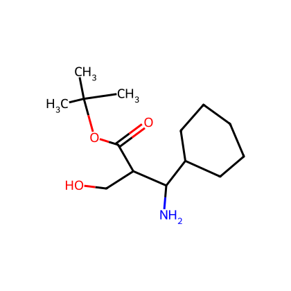 CC(C)(C)OC(=O)C(CO)C(N)C1CCCCC1